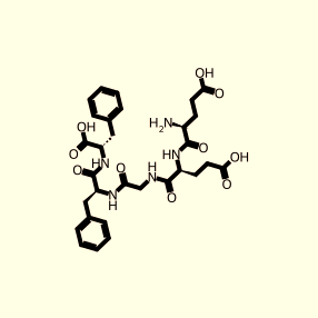 N[C@@H](CCC(=O)O)C(=O)N[C@@H](CCC(=O)O)C(=O)NCC(=O)N[C@@H](Cc1ccccc1)C(=O)N[C@@H](Cc1ccccc1)C(=O)O